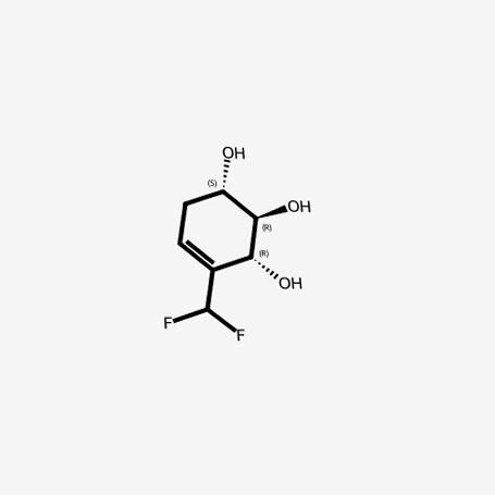 O[C@H]1[C@H](O)C(C(F)F)=CC[C@@H]1O